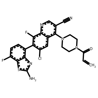 C=CC(=O)N1CCN(c2c(C#N)cnc3c(F)c(-c4ccc(F)c5sc(N)nc45)c(Cl)cc23)CC1